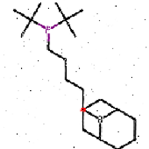 CC(C)(C)P(CCCCCB1C2CCCC1CCC2)C(C)(C)C